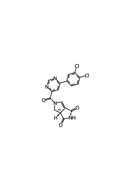 O=C1NC(=O)[C@@H]2CN(C(=O)c3cc(-c4ccc(Cl)c(Cl)c4)ncn3)C=C12